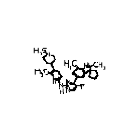 CC1=Nc2c(C)cc(-c3nc(Nc4ccc(C5CCN(C)CC5)c(C)n4)ncc3F)cc2C12CCCC2